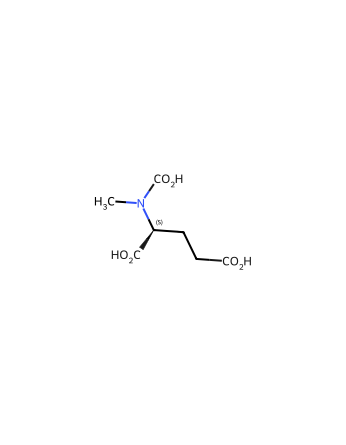 CN(C(=O)O)[C@@H](CCC(=O)O)C(=O)O